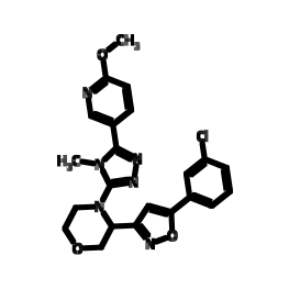 COc1ccc(-c2nnc(N3CCOCC3c3cc(-c4cccc(Cl)c4)on3)n2C)cn1